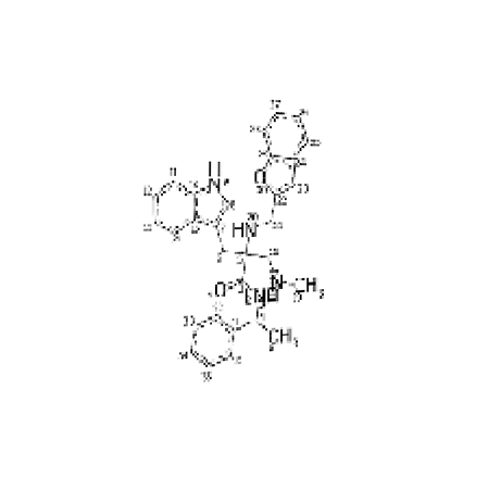 CC(NC(=O)C(Cc1c[nH]c2ccccc12)(CN(C)C)NCc1cc2ccccc2o1)c1ccccc1